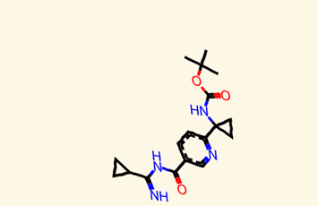 CC(C)(C)OC(=O)NC1(c2ccc(C(=O)NC(=N)C3CC3)cn2)CC1